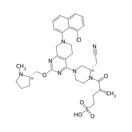 C=C(CCS(=O)(=O)O)C(=O)N1CCN(c2nc(OC[C@@H]3CCCN3C)nc3c2CCN(c2cccc4cccc(Cl)c24)C3)C[C@@H]1CC#N